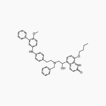 CCCCOc1ccc(C(O)CN(CCc2ccc(Nc3ccc(OC)c(-c4ccccc4)c3)cc2)Cc2ccccc2)c2ccc(=O)[nH]c12